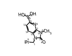 CC(C)Cn1c(=O)n(C)c2nc(B(O)O)ccc21